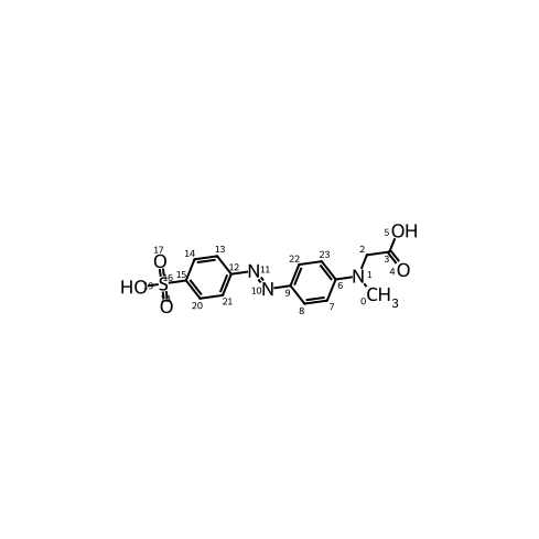 CN(CC(=O)O)c1ccc(N=Nc2ccc(S(=O)(=O)O)cc2)cc1